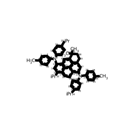 Cc1ccc(N(c2ccc(C(C)C)cc2)c2cc(C(C)C)c3ccc4c(N(c5ccc(C)cc5)c5ccc(C(C)C)cc5)cc5c6c(cc2c3c46)C(C)(C)CC5)cc1